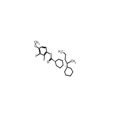 CCCC(C)C1([C@H]2CC[C@H](C(=O)Oc3ccc(OC)c(F)c3F)CC2)CCCCC1